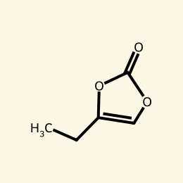 CCc1coc(=O)o1